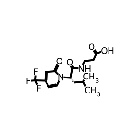 CC(C)C[C@@H](C(=O)NCCC(=O)O)n1ccc(C(F)(F)F)cc1=O